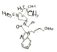 COCCCCn1c(C(=O)N(CC(C)C)[C@H]2C[C@@H](C(C)(C)O)CN(C(=O)O)C2)nc2ccccc21